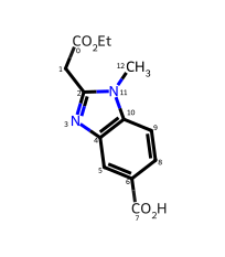 CCOC(=O)Cc1nc2cc(C(=O)O)ccc2n1C